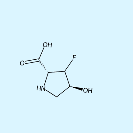 O=C(O)[C@H]1NC[C@H](O)C1F